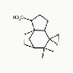 CC1(C)C2CCC3(C2)C(C(=O)O)CCC3C12CO2